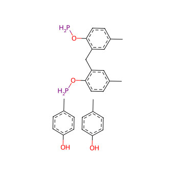 Cc1ccc(O)cc1.Cc1ccc(O)cc1.Cc1ccc(OP)c(Cc2cc(C)ccc2OP)c1